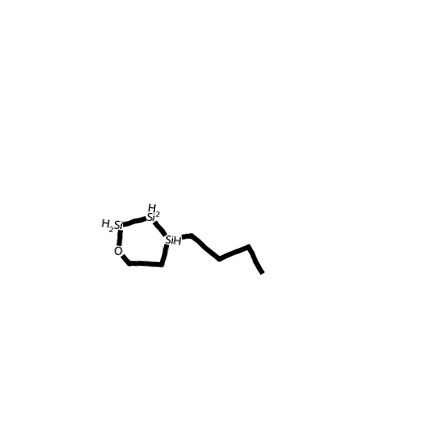 CCCC[SiH]1CCO[SiH2][SiH2]1